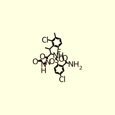 Cc1ccc(F)c(C(C)C(NS(=O)(=O)c2ccc(Cl)cc2C(N)=O)c2n[nH]c(=O)o2)c1Cl